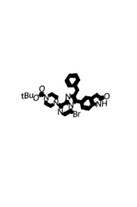 CC(C)(C)OC(=O)N1CCN(c2ncc(Br)n3c(-c4ccc5c(c4)CC(=O)N5)c(Cc4ccccc4)nc23)CC1